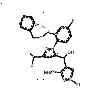 CCn1cc(C(O)c2cc(C(F)F)nn2-c2ccc(F)cc2[C@@H](C)OCc2ccccc2)c(OC)n1